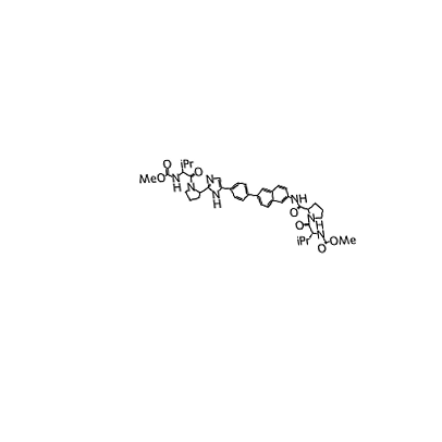 COC(=O)NC(C(=O)N1CCCC1c1ncc(-c2ccc(-c3ccc4cc(NC(=O)C5CCCN5C(=O)[C@@H](NC(=O)OC)C(C)C)ccc4c3)cc2)[nH]1)C(C)C